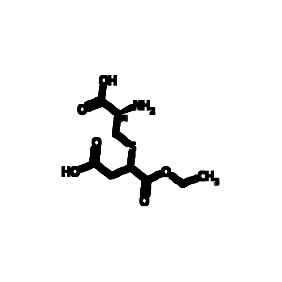 CCOC(=O)C(CC(=O)O)SC[C@H](N)C(=O)O